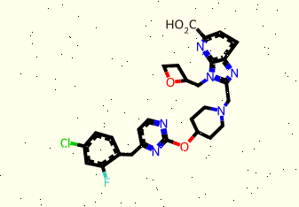 O=C(O)c1ccc2nc(CN3CCC(Oc4nccc(Cc5ccc(Cl)cc5F)n4)CC3)n(CC3CCO3)c2n1